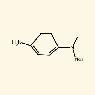 CN(C1=CC=C(N)CC1)C(C)(C)C